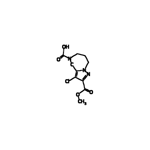 COC(=O)c1nn2c(c1Cl)CN(C(=O)O)CCC2